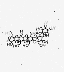 CC(=O)NC1C(O[C@@H]2OC(CO)[C@H](O)C(O)C2O[C@@H]2OC(C)[C@@H](O)C(O)C2O)[C@@H](O)C(CO)O[C@H]1OC1C(O)[C@@H](O[C@H]2C(CO)O[C@@H](C)C(O)C2O)OC(CO)[C@@H]1O